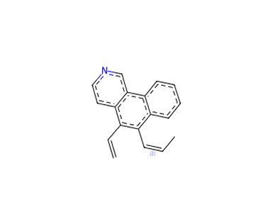 C=Cc1c(/C=C\C)c2ccccc2c2cnccc12